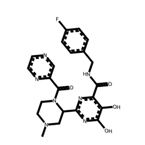 CN1CCN(C(=O)c2cnccn2)C(c2nc(O)c(O)c(C(=O)NCc3ccc(F)cc3)n2)C1